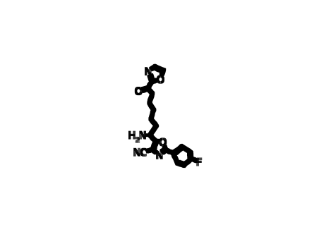 N#Cc1nc(-c2ccc(F)cc2)oc1[C@@H](N)CCCCCC(=O)c1ncco1